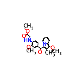 CCOC(=O)CNc1ccc(C(=O)c2c(C)c(OC)c3ccccn23)cc1OC